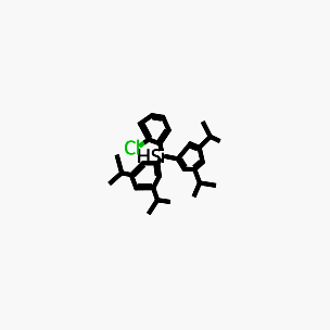 CC(C)c1cc(C(C)C)cc([SiH](c2cc(C(C)C)cc(C(C)C)c2)c2ccccc2Cl)c1